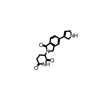 O=C1CCC(N2Cc3cc(C4=CCNC4)ccc3C2=O)C(=O)N1